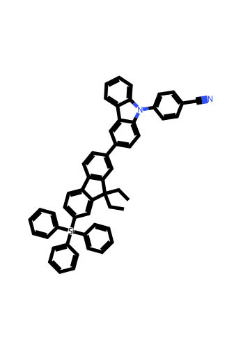 CCC1(CC)c2cc(-c3ccc4c(c3)c3ccccc3n4-c3ccc(C#N)cc3)ccc2-c2ccc([Si](c3ccccc3)(c3ccccc3)c3ccccc3)cc21